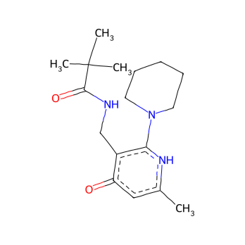 Cc1cc(=O)c(CNC(=O)C(C)(C)C)c(N2CCCCC2)[nH]1